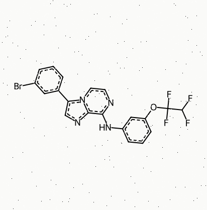 FC(F)C(F)(F)Oc1cccc(Nc2nccn3c(-c4cccc(Br)c4)cnc23)c1